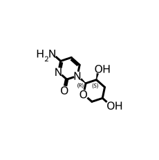 Nc1ccn([C@@H]2OCC(O)C[C@@H]2O)c(=O)n1